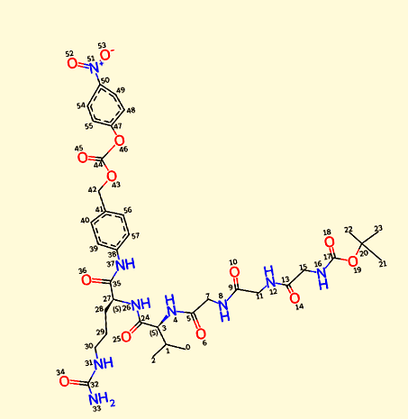 CC(C)[C@H](NC(=O)CNC(=O)CNC(=O)CNC(=O)OC(C)(C)C)C(=O)N[C@@H](CCCNC(N)=O)C(=O)Nc1ccc(COC(=O)Oc2ccc([N+](=O)[O-])cc2)cc1